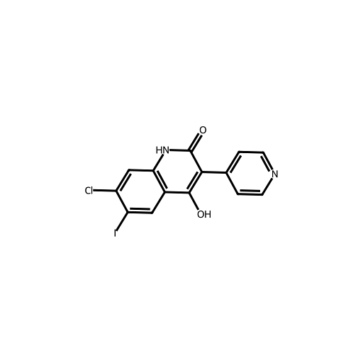 O=c1[nH]c2cc(Cl)c(I)cc2c(O)c1-c1ccncc1